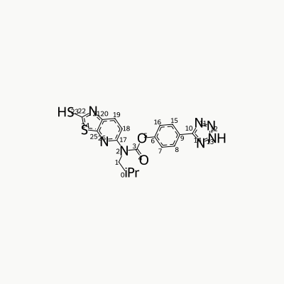 CC(C)CN(C(=O)Oc1ccc(-c2nn[nH]n2)cc1)c1ccc2nc(S)sc2n1